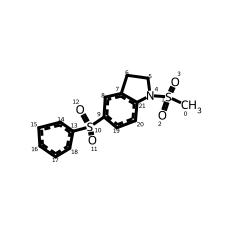 CS(=O)(=O)N1CCc2cc(S(=O)(=O)c3ccccc3)ccc21